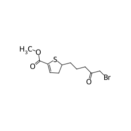 COC(=O)C1=CCC(CCCC(=O)CBr)S1